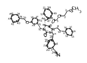 COCCOCO[C@@H]1[C@@H](CCc2ccccc2)N(Cc2cccc(C#N)c2)C(=O)N(Cc2cccc(OCc3ccccc3)c2)[C@@H]1Cc1ccccc1